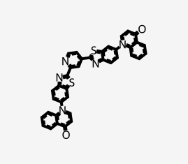 O=c1ccn(-c2ccc3nc(-c4ccnc(-c5nc6ccc(-n7ccc(=O)c8ccccc87)cc6s5)c4)sc3c2)c2ccccc12